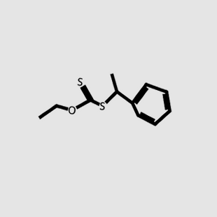 CCOC(=S)SC(C)c1ccccc1